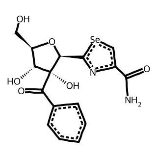 NC(=O)c1c[se]c([C@@H]2O[C@H](CO)[C@@H](O)[C@]2(O)C(=O)c2ccccc2)n1